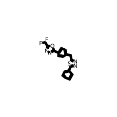 FC(F)c1nnc(-c2ccc(Cc3nnc(-c4ccccc4)s3)cc2)o1